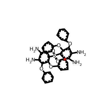 Nc1cc(S(=O)(=O)c2cc(N)c(N)c(Oc3ccccc3)c2Oc2ccccc2)c(Oc2ccccc2)c(Oc2ccccc2)c1N